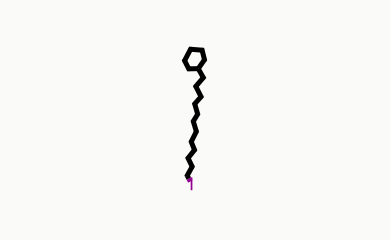 ICCCCCCCCCCCCC1CCCCC1